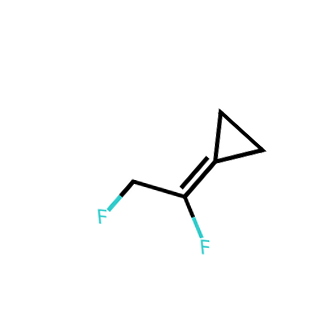 FCC(F)=C1CC1